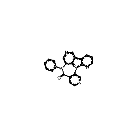 O=C1c2ccncc2-n2c3ncccc3c3cncc(c32)N1c1ccccc1